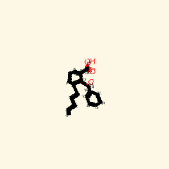 CCCCCc1cccc(C(=O)O)c1C(=O)c1ccccc1